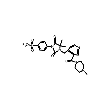 CN1CCN(C(=O)c2cnccc2CN2C(=O)N(c3ccc(S(=O)(=O)C(F)(F)F)cc3)C(=O)C2(C)C)CC1